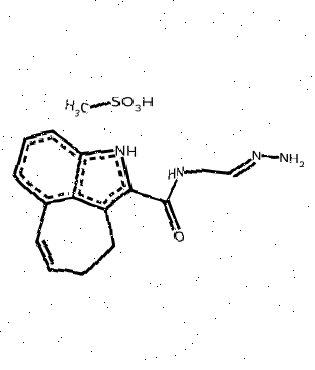 CS(=O)(=O)O.NN=CNC(=O)c1[nH]c2cccc3c2c1CCC=C3